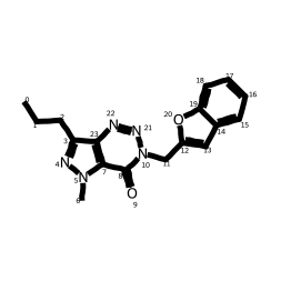 CCCc1nn(C)c2c(=O)n(Cc3cc4ccccc4o3)nnc12